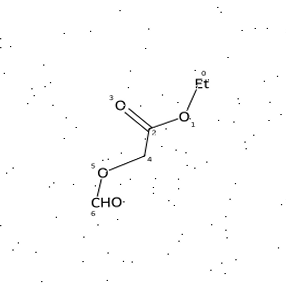 CCOC(=O)CO[C]=O